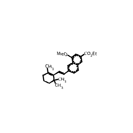 CCOC(=O)c1cc(OC)c2cc(C=CC3=C(C)CCCC3(C)C)ccc2c1